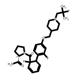 CC(C)(F)CN1CCC(COc2ccc(C3C=CC=CC3(F)C(=O)N3CCC[C@H]3C(N)=O)c(F)c2)CC1